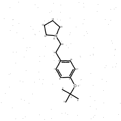 CC(C)(C)Oc1ccc(CCN2CCCC2)cc1